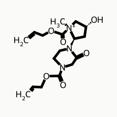 C=CCOC(=O)N1CCN([C@@H]2C[C@@H](O)C[N+]2(C)C(=O)OCC=C)C(=O)C1